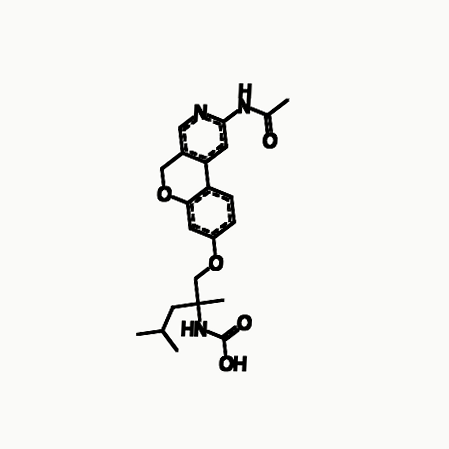 CC(=O)Nc1cc2c(cn1)COc1cc(OCC(C)(CC(C)C)NC(=O)O)ccc1-2